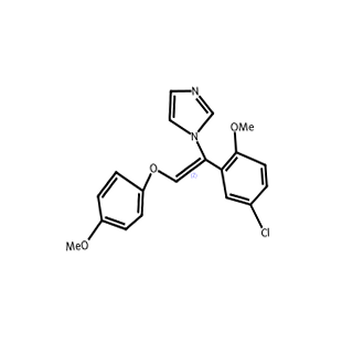 COc1ccc(O/C=C(/c2cc(Cl)ccc2OC)n2ccnc2)cc1